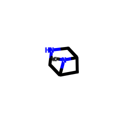 CC(=O)N1C2CNCC1C2